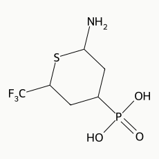 NC1CC(P(=O)(O)O)CC(C(F)(F)F)S1